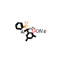 CCCC(C)(Pc1ccccc1C(C)=O)c1cc(C)cc(C)c1OOC